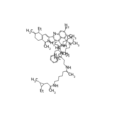 C=C(CCCCCNC(=C)CC1C(C)C1CC)NCCC(=C)N(C)C(Cc1ccccc1)C(=C)NCC(=C)N(C)CCC1(C(=C)NC2CCc3c(C)c(P)cc4nc5c(c2c34)CN2C(=C)C3=C(C=C52)C(CC)C(=C)CC3)CC1